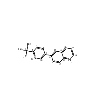 FC(F)(F)c1ccc(-c2ccc3ncccc3c2)cn1